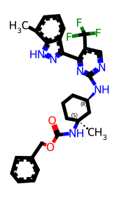 Cc1cccc2c(-c3nc(N[C@@H]4CCC[C@](C)(NC(=O)OCc5ccccc5)C4)ncc3C(F)(F)F)n[nH]c12